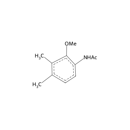 COc1c(NC(C)=O)ccc(C)c1C